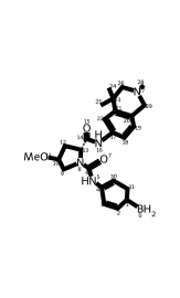 BC1C=CC(NC(=O)N2CC(OC)C[C@@H]2C(=O)Nc2ccc3c(c2)C(C)(C)CN(C)C3)=CC1